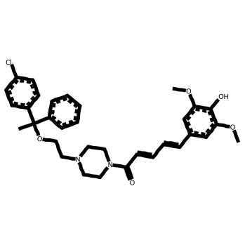 COc1cc(C=CC=CC(=O)N2CCN(CCOC(C)(c3ccccc3)c3ccc(Cl)cc3)CC2)cc(OC)c1O